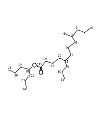 CCCC(C)CCCC(CCC)CCCC(=O)OC(CCC)CCC